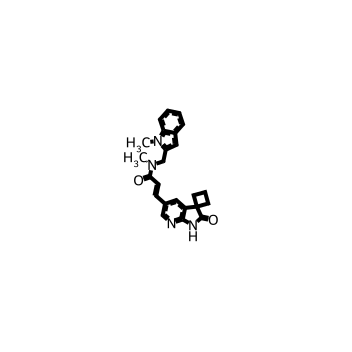 CN(Cc1cc2ccccc2n1C)C(=O)C=Cc1cnc2c(c1)C1(CCC1)C(=O)N2